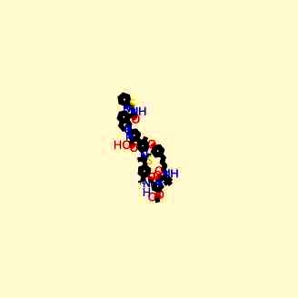 CC(=O)O[C@@H]1C[C@@H](C(=O)N[C@@H](C)c2ccc(-c3scnc3C)cc2)N(C(=O)[C@@H](NC(=O)CCCc2ccc(Oc3cccc(-c4ccc(N5CCc6cccc(C(=O)Nc7nc8ccccc8s7)c6C5)nc4C(=O)O)c3C)cc2)C(C)(C)C)C1